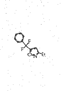 [CH2]Cc1cc(C(F)(F)c2ccccc2)on1